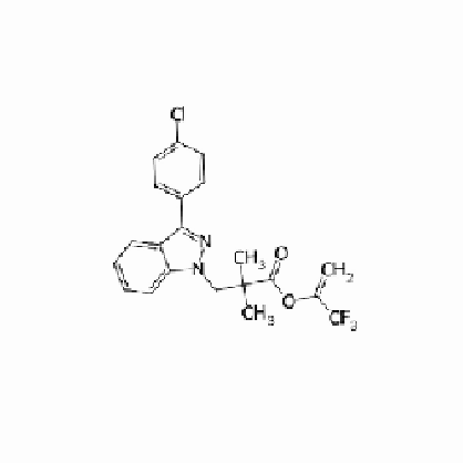 C=C(OC(=O)C(C)(C)Cn1nc(-c2ccc(Cl)cc2)c2ccccc21)C(F)(F)F